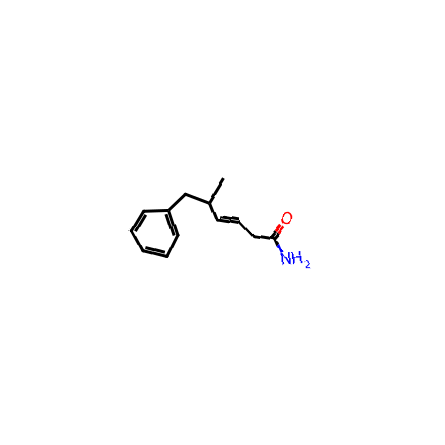 CC(C=CCC(N)=O)Cc1ccccc1